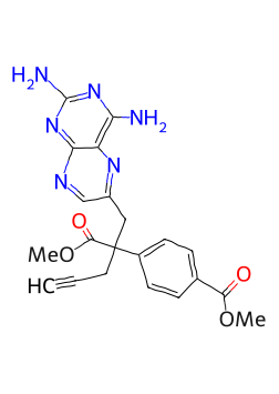 C#CCC(Cc1cnc2nc(N)nc(N)c2n1)(C(=O)OC)c1ccc(C(=O)OC)cc1